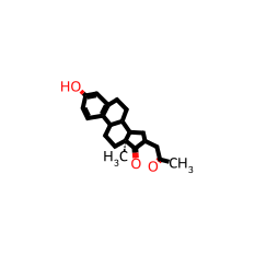 CC(=O)CC1CC2C3CCc4cc(O)ccc4C3CC[C@]2(C)C1=O